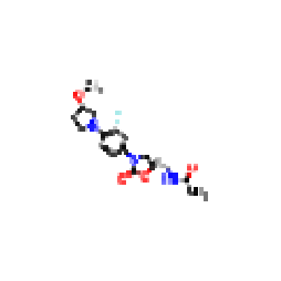 COC1CCN(c2ccc(N3C[C@H](CNC(C)=O)OC3=O)cc2F)C1